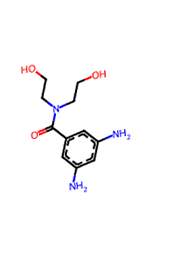 Nc1cc(N)cc(C(=O)N(CCO)CCO)c1